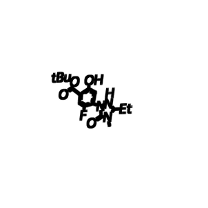 CCC1NN(c2cc(O)c(C(=O)OC(C)(C)C)cc2F)C(=O)N1C